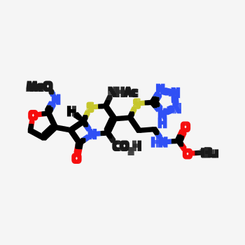 CON=C1OCC=C1C1C(=O)N2C(C(=O)O)=C(C(CCNC(=O)OC(C)(C)C)Sc3nnn[nH]3)C(NC(C)=O)S[C@@H]12